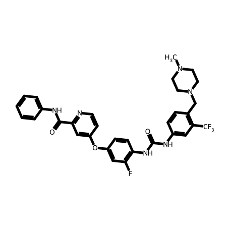 CN1CCN(Cc2ccc(NC(=O)Nc3ccc(Oc4ccnc(C(=O)Nc5ccccc5)c4)cc3F)cc2C(F)(F)F)CC1